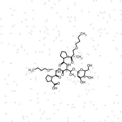 CCCCOC[C@H](NC(=O)[C@@H](NC(=O)C1CCCN1C(=O)[C@@H](C)COCCCC)C(C)O[C@H]1C=C(O)[C@H](O)C(CO)O1)C(=O)N1CCCC1C(=O)O